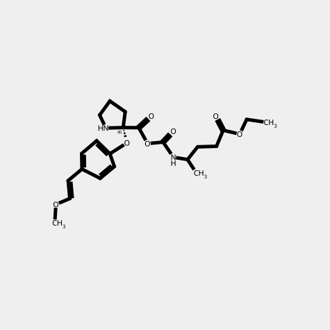 CCOC(=O)CCC(C)NC(=O)OC(=O)[C@]1(Oc2ccc(C=COC)cc2)CCCN1